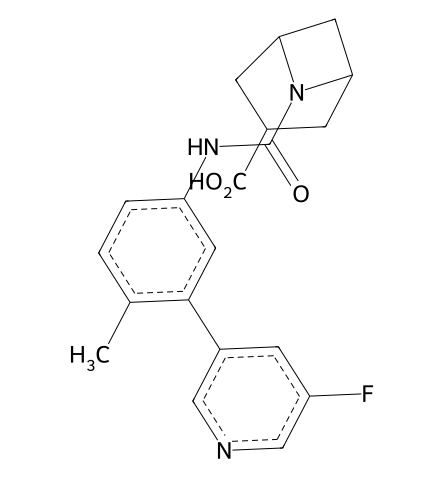 Cc1ccc(NC(=O)N2C3CC(C(=O)O)CC2C3)cc1-c1cncc(F)c1